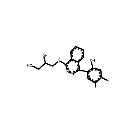 OCC(O)CNc1nnc(-c2cc(F)c(F)cc2O)c2ccccc12